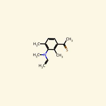 C=CN(C)c1c(C)ccc(C(C)=S)c1C